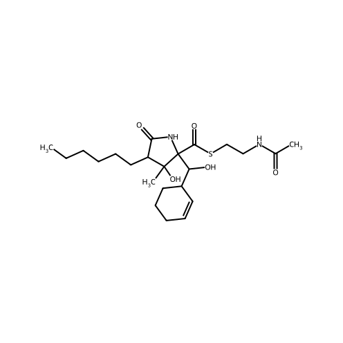 CCCCCCC1C(=O)NC(C(=O)SCCNC(C)=O)(C(O)C2C=CCCC2)C1(C)O